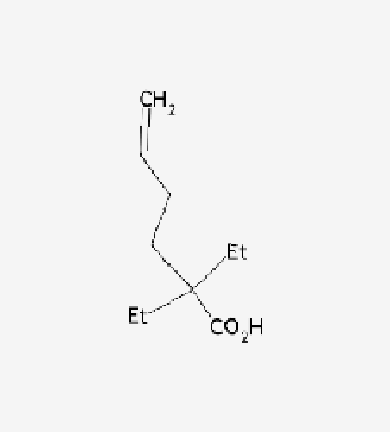 C=CCCC(CC)(CC)C(=O)O